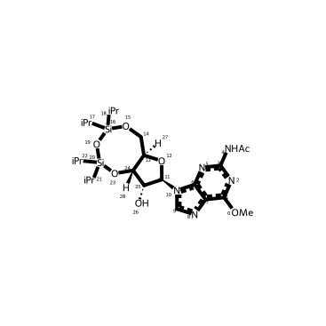 COc1nc(NC(C)=O)nc2c1ncn2[C@@H]1O[C@@H]2CO[Si](C(C)C)(C(C)C)O[Si](C(C)C)(C(C)C)O[C@H]2[C@H]1O